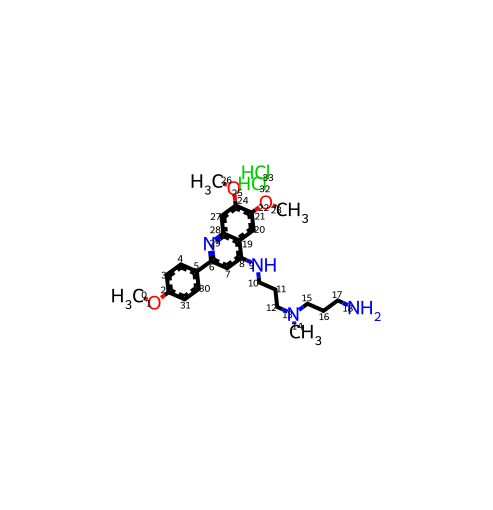 COc1ccc(-c2cc(NCCCN(C)CCCN)c3cc(OC)c(OC)cc3n2)cc1.Cl.Cl